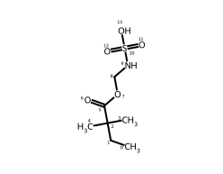 CCC(C)(C)C(=O)OCNS(=O)(=O)O